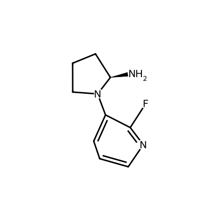 N[C@@H]1CCCN1c1cccnc1F